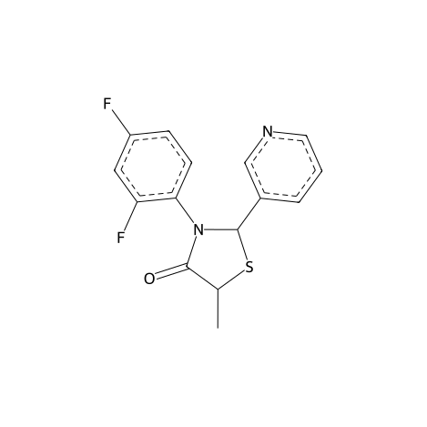 CC1SC(c2cccnc2)N(c2ccc(F)cc2F)C1=O